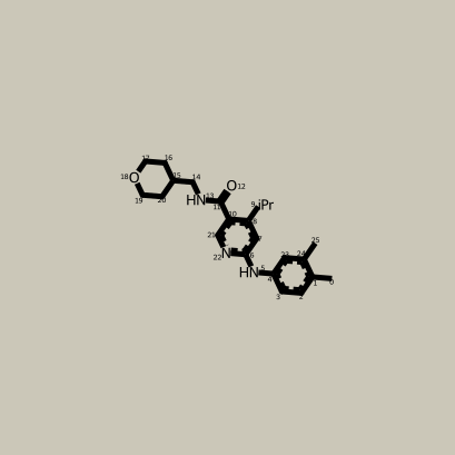 Cc1ccc(Nc2cc(C(C)C)c(C(=O)NCC3CCOCC3)cn2)cc1C